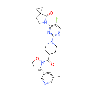 Cc1cncc([C@@H]2CCON2C(=O)C2CCN(c3ncc(F)c(N4CCC5(CC5)C4=O)n3)CC2)c1